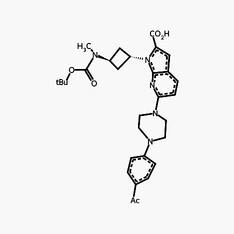 CC(=O)c1ccc(N2CCN(c3ccc4cc(C(=O)O)n([C@H]5C[C@H](N(C)C(=O)OC(C)(C)C)C5)c4n3)CC2)cc1